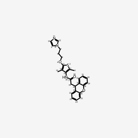 Cc1sc(OCCCn2ccnc2)c(C)c1NC(=O)CC1c2ccccc2Oc2ccccc21